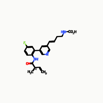 C=C[C@@H](C)C(=O)Nc1ccc(F)cc1-c1cncc(C=CCCNC(=O)O)c1